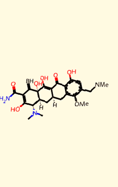 B=C1C(C(N)=O)=C(O)[C@@H](N(C)C)[C@@H]2C[C@@H]3Cc4c(OC)c(CNC)cc(O)c4C(=O)C3=C(O)[C@]12O